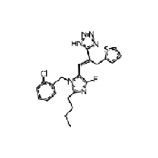 CCCCc1nc(F)c(C=C(Cc2cccs2)c2nnn[nH]2)n1Cc1ccccc1Cl